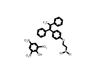 CCN(CC)CCOc1ccc(/C(=C(\c2ccccc2)C(F)(F)F)c2ccccc2)cc1.O=[N+]([O-])c1cc([N+](=O)[O-])c(O)c([N+](=O)[O-])c1